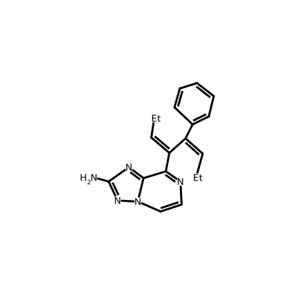 CC/C=C(\C(=C/CC)c1nccn2nc(N)nc12)c1ccccc1